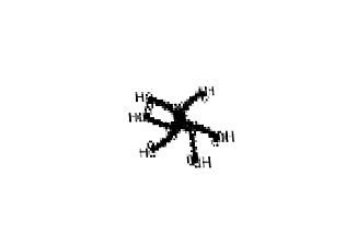 O=C(O)CCCCCCOc1cc2c3cc(OCCCCCCC(=O)O)c(OCCCCCCC(=O)O)cc3c3cc(OCCCCCCC(=O)O)c(OCCCCCCC(=O)O)cc3c2cc1OCCCCCCC(=O)O